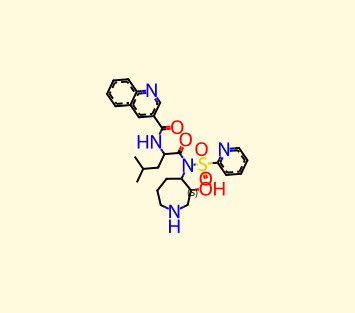 CC(C)CC(NC(=O)c1cnc2ccccc2c1)C(=O)N(C1CCCNC[C@@H]1O)S(=O)(=O)c1ccccn1